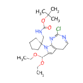 CCOC(OCC)c1cc2c(n1C1(CNC(=O)OC(C)(C)C)CCCC1)N=C(Cl)N=CC2